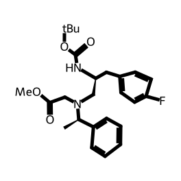 COC(=O)CN(C[C@H](Cc1ccc(F)cc1)NC(=O)OC(C)(C)C)[C@H](C)c1ccccc1